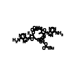 COP1(=O)OCC2OC(n3cnc4c(N)ncnc43)[C@@H](OP(=O)(SCOC(=O)C(C)(C)C)OCC3O[C@@H](n4cnc5c(N)ncnc54)C(F)C3O1)C2C